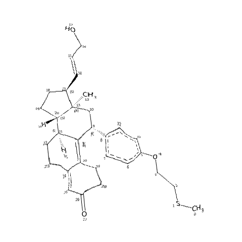 CSCCOc1ccc([C@H]2C[C@]3(C)[C@H](C=CCO)CC[C@H]3[C@@H]3CCC4=CC(=O)CCC4=C32)cc1